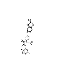 Cc1cnc2c(c1)CN(C(=O)[C@@]1(CC3CC3)CCN(Cc3ccc4ccc(=O)n(C)c4c3)C1)CC2